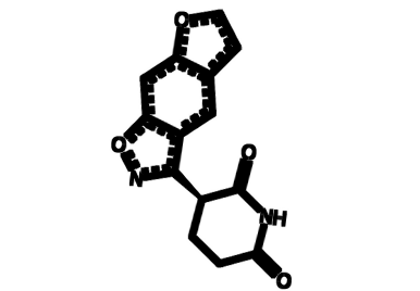 O=C1CC[C@@H](c2noc3cc4occc4cc23)C(=O)N1